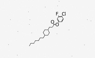 CCCCCCCC1CCC(CCC(=O)Oc2ccc(Cl)c(F)c2)CC1